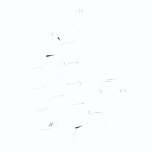 C=C[C@@H](C[C@H](O)[C@H](CC1CCCCC1)NC(=O)[C@H](Cc1c[nH]cn1)NC(=O)C(CC(=O)N1CCC[C@H]1C(=O)OC(C)(C)C)Cc1ccccc1)C(C)C